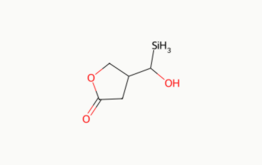 O=C1CC(C(O)[SiH3])CO1